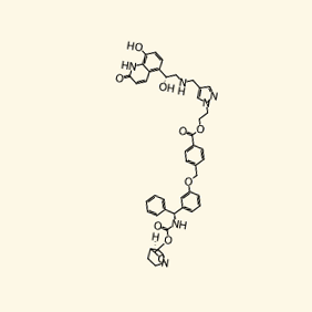 O=C(N[C@@H](c1ccccc1)c1cccc(OCc2ccc(C(=O)OCCn3cc(CNC[C@H](O)c4ccc(O)c5[nH]c(=O)ccc45)cn3)cc2)c1)O[C@H]1CN2CCC1CC2